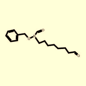 O=CCCCCCCCN(C=O)OCc1ccccc1